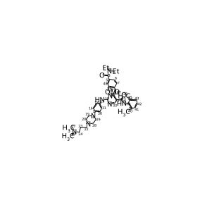 CCN(CC)C(=O)c1ccc(Oc2nc(Nc3ccc(N4CCN(CCCN(C)C)CC4)cc3)ncc2C(=O)Nc2c(C)cccc2C)c(OC)c1